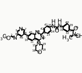 COC=Nc1cncc(-c2ccc3c(N4CCOCC4)nc(-c4ccc(NC(=O)Nc5ccc(C(=O)N(C)C)cc5)cc4)nc3c2)c1